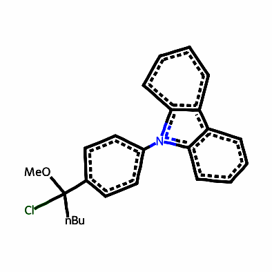 CCCCC(Cl)(OC)c1ccc(-n2c3ccccc3c3ccccc32)cc1